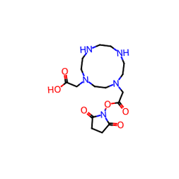 O=C(O)CN1CCNCCNCCN(CC(=O)ON2C(=O)CCC2=O)CC1